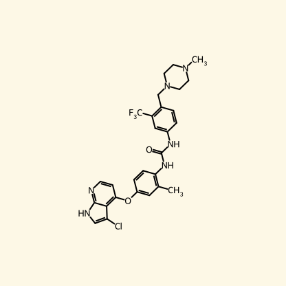 Cc1cc(Oc2ccnc3[nH]cc(Cl)c23)ccc1NC(=O)Nc1ccc(CN2CCN(C)CC2)c(C(F)(F)F)c1